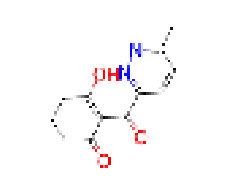 Cc1ccc(C(=O)C2=C(O)CCCC2=O)nn1